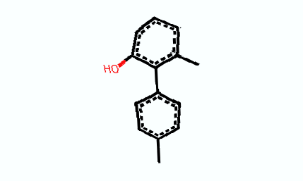 Cc1ccc(-c2c(C)[c]ccc2O)cc1